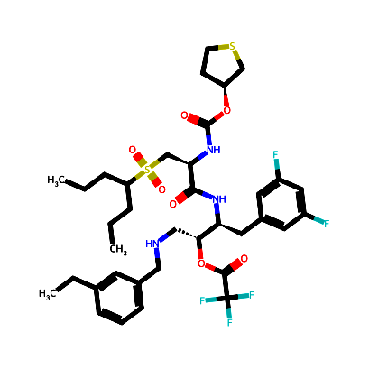 CCCC(CCC)S(=O)(=O)C[C@@H](NC(=O)O[C@H]1CCSC1)C(=O)N[C@@H](Cc1cc(F)cc(F)c1)[C@@H](CNCc1cccc(CC)c1)OC(=O)C(F)(F)F